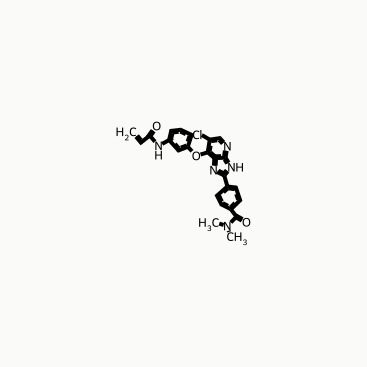 C=CC(=O)Nc1cccc(Oc2c(Cl)cnc3[nH]c(-c4ccc(C(=O)N(C)C)cc4)nc23)c1